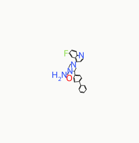 NC(=O)N1CCN(c2ccnc3ccc(F)cc23)CC1c1ccc(-c2ccccc2)cc1